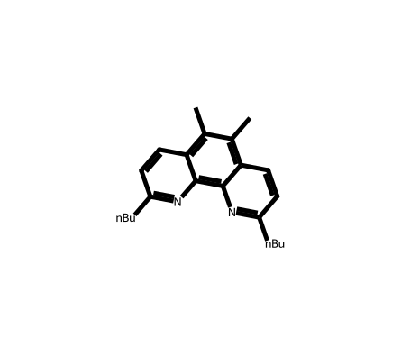 CCCCc1ccc2c(C)c(C)c3ccc(CCCC)nc3c2n1